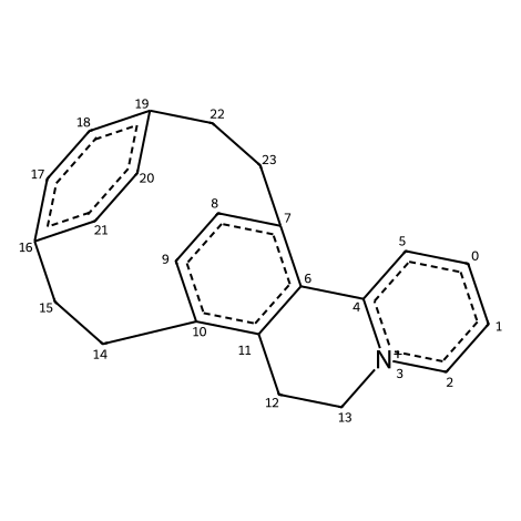 c1cc[n+]2c(c1)-c1c3ccc(c1CC2)CCc1ccc(cc1)CC3